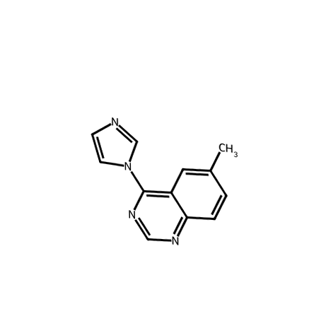 Cc1ccc2ncnc(-n3ccnc3)c2c1